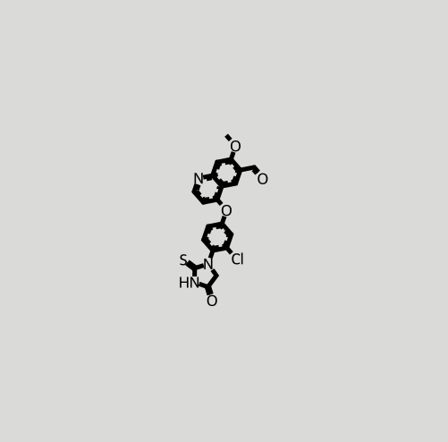 COc1cc2nccc(Oc3ccc(N4CC(=O)NC4=S)c(Cl)c3)c2cc1C=O